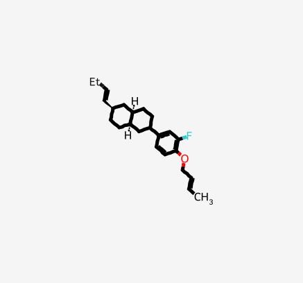 C/C=C/COc1ccc(C2CC[C@@H]3C[C@H](C=CCC)CC[C@@H]3C2)cc1F